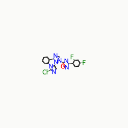 Fc1ccc(-c2noc(N3C=NC4c5ccccc5-n5c(cnc5Cl)N43)n2)c(F)c1